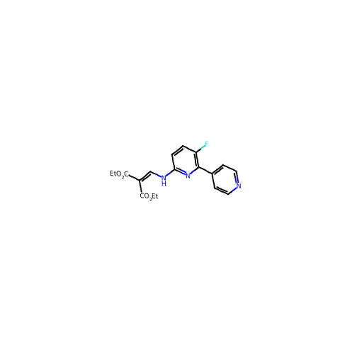 CCOC(=O)C(=CNc1ccc(F)c(-c2ccncc2)n1)C(=O)OCC